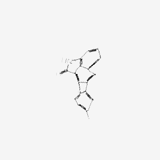 Cc1ccc2c(c1)-c1cc3cccc4c3c(c1-2)C(=O)N4